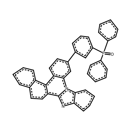 O=P(c1ccccc1)(c1ccccc1)c1cccc(-c2ccc3c4c5ccccc5ccc4c4nc5ccccc5n4c3c2)c1